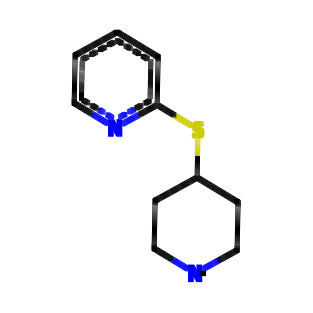 c1ccc(SC2CC[N]CC2)nc1